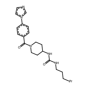 CC(C)CCCNC(=O)NC1CCN(C(=O)c2ccc(-n3ccnc3)cc2)CC1